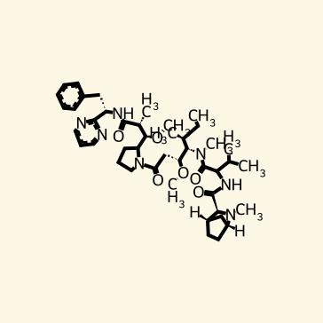 CC[C@H](C)[C@@H]([C@@H](CC(=O)N1CCCC1[C@H](OC)[C@@H](C)C(=O)N[C@@H](Cc1ccccc1)c1ncccn1)OC)N(C)C(=O)C(NC(=O)[C@@H]1[C@H]2CC[C@H](C2)N1C)C(C)C